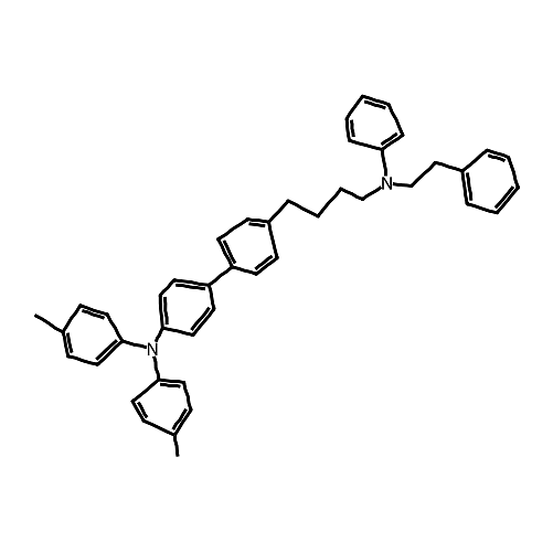 Cc1ccc(N(c2ccc(C)cc2)c2ccc(-c3ccc(CCCCN(CCc4ccccc4)c4ccccc4)cc3)cc2)cc1